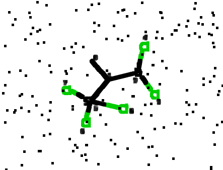 CC(B(Cl)Cl)[Si](Cl)(Cl)Cl